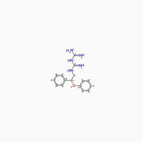 N=C(N)NC(=N)NCC(Oc1ccccc1)c1ccccc1